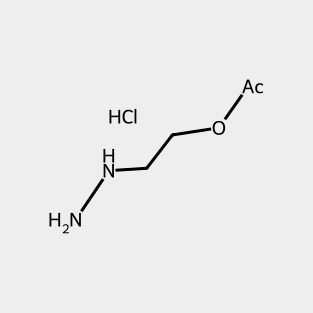 CC(=O)OCCNN.Cl